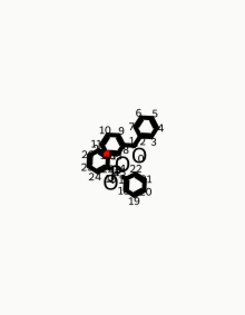 O=C(c1ccccc1)c1ccccc1OP(=O)(c1ccccc1)c1ccccc1